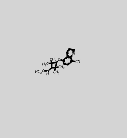 CC1(C)C(NC(=O)O)C(C)(C)C1Oc1ccc(C#N)c2ncccc12